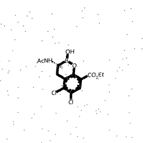 CCOC(=O)c1cc(Cl)c(Cl)c2c1OB(O)[C@@H](NC(C)=O)C2